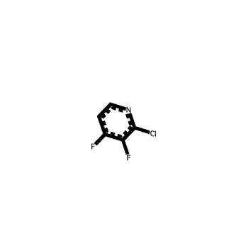 Fc1ccnc(Cl)c1F